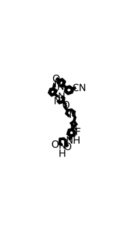 N#Cc1cccc(-c2ccc(=O)n(Cc3cccc(-c4ncc(OCC5CCN(CC6CN(c7ccc(NC8CCC(=O)NC8=O)cc7F)C6)CC5)cn4)c3)n2)c1